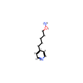 [N]OCCCCCc1ccncc1